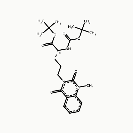 Cn1c(=O)n(CCC[C@@H](NC(=O)OC(C)(C)C)C(=O)OC(C)(C)C)c(=O)c2ccccc21